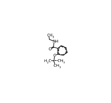 CCNC(=O)c1ccccc1OC(C)(C)C